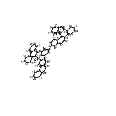 S=P(c1ccc(-c2ccc3c4c(ccc3c2)-c2ccccc2C2=Nc3ccccc3[SiH]24)nc1)(c1ccc2ccc3ccccc3c2c1)c1cc2ccccc2c2ccccc12